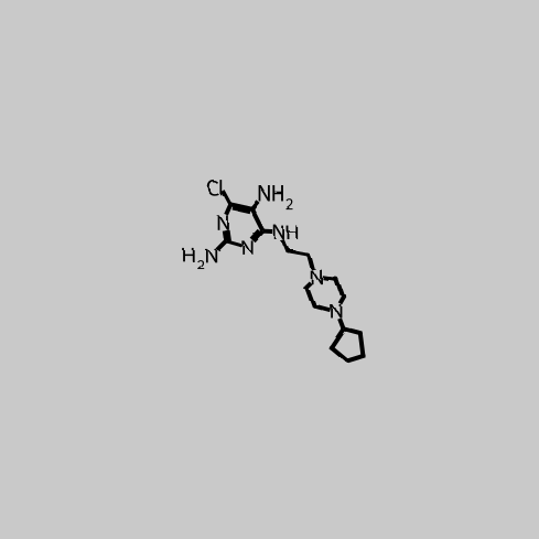 Nc1nc(Cl)c(N)c(NCCN2CCN(C3CCCC3)CC2)n1